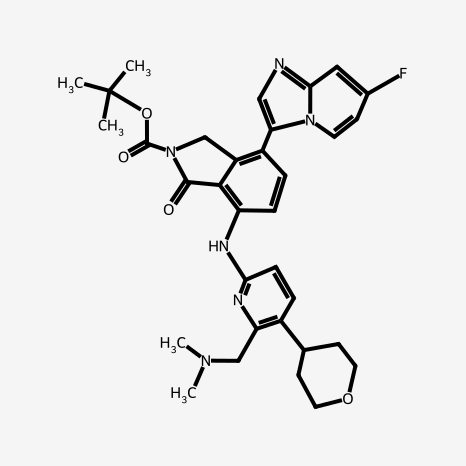 CN(C)Cc1nc(Nc2ccc(-c3cnc4cc(F)ccn34)c3c2C(=O)N(C(=O)OC(C)(C)C)C3)ccc1C1CCOCC1